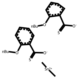 CCCCOc1ccccc1C([O-])=S.CCCCOc1ccccc1C([O-])=S.[CH3][Sn+2][CH3]